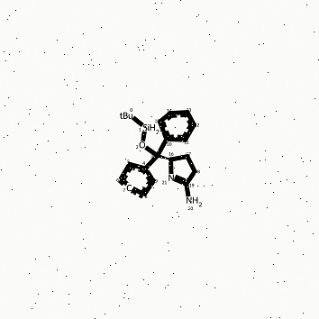 CC(C)(C)[SiH2]OC(c1ccccc1)(c1ccccc1)[C@H]1CCC(N)=N1